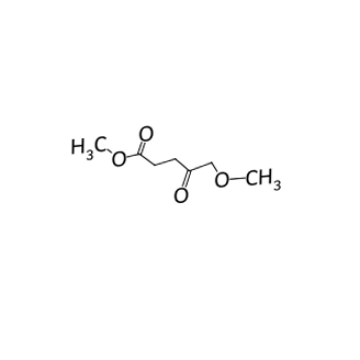 COCC(=O)CCC(=O)OC